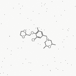 Cc1cc(CN2CC(C)OC(C)C2)cc(Cl)c1OCC1OCCO1